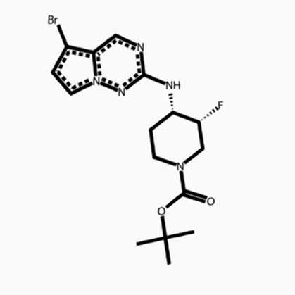 CC(C)(C)OC(=O)N1CC[C@H](Nc2ncc3c(Br)ccn3n2)[C@H](F)C1